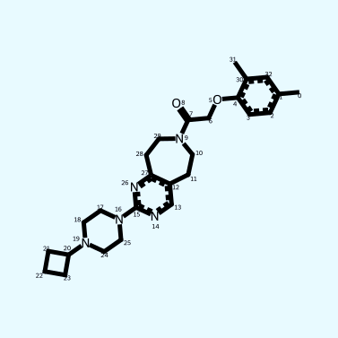 Cc1ccc(OCC(=O)N2CCc3cnc(N4CCN(C5CCC5)CC4)nc3CC2)c(C)c1